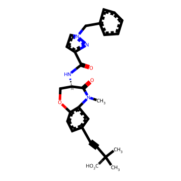 CN1C(=O)[C@@H](NC(=O)c2ccn(Cc3ccccc3)n2)COc2ccc(C#CC(C)(C)C(=O)O)cc21